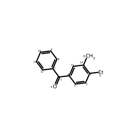 CCc1ccc(C(=O)c2ccccc2)cc1C